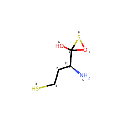 N[C@@H](CCS)C1(O)OS1